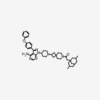 CC1CC2CC(C)CC(CC(=O)N3CCC4(CC3)CC(N3CCC(n5nc(-c6ccc(Oc7ccccc7)cc6)c6c(N)ncnc65)CC3)C4)(C1)C2